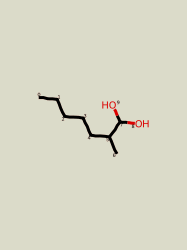 CCCCCC(C)C(O)O